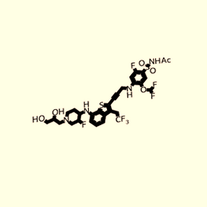 CC(=O)NS(=O)(=O)c1cc(OC(F)F)c(NCC#Cc2sc3c(NC4CCN(CC(O)CO)CC4F)cccc3c2CC(F)(F)F)cc1F